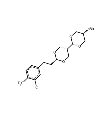 CCCC[C@H]1CO[C@H]([C@H]2CO[C@H](CCc3ccc(C(F)(F)F)c(Cl)c3)OC2)OC1